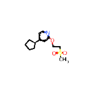 CS(=O)(=O)CCOc1cc(C2CCCC2)ccn1